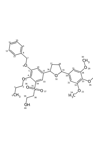 CCCOc1c(OCc2ccccc2)cc(C2CCC(c3cc(OC)c(OC)c(OC)c3)O2)cc1S(=O)(=O)CCO